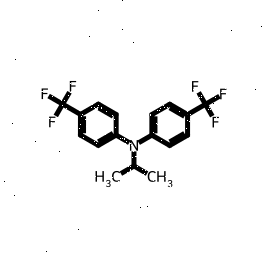 CC(C)N(c1ccc(C(F)(F)F)cc1)c1ccc(C(F)(F)F)cc1